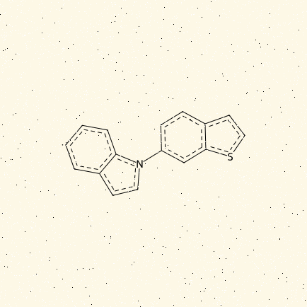 [c]1ccc2c(c1)ccn2-c1ccc2ccsc2c1